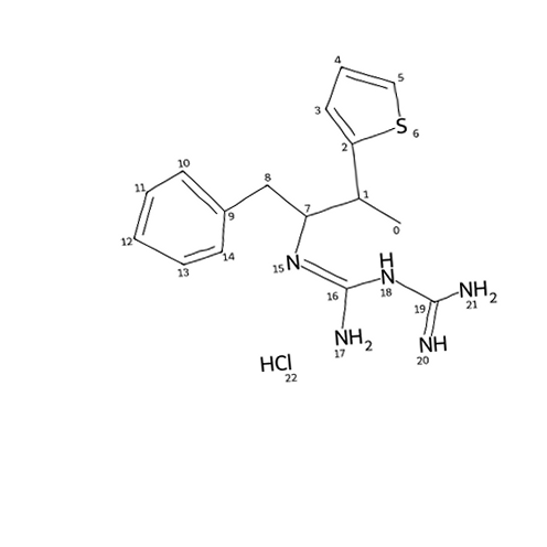 CC(c1cccs1)C(Cc1ccccc1)N=C(N)NC(=N)N.Cl